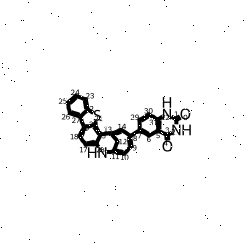 O=c1[nH]c(=O)c2cc(C3=CC=C4CC(=C3)c3c(ccc5c3sc3ccccc35)N4)ccc2[nH]1